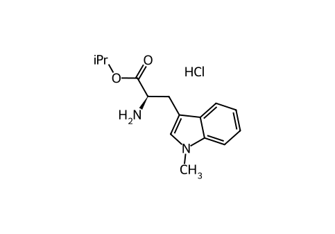 CC(C)OC(=O)[C@H](N)Cc1cn(C)c2ccccc12.Cl